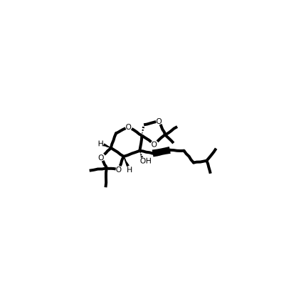 CC(C)CCC#C[C@@]1(O)[C@@H]2OC(C)(C)O[C@@H]2CO[C@]12COC(C)(C)O2